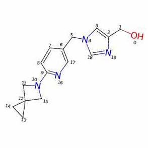 OCc1cn(Cc2ccc(N3CC4(CC4)C3)nc2)cn1